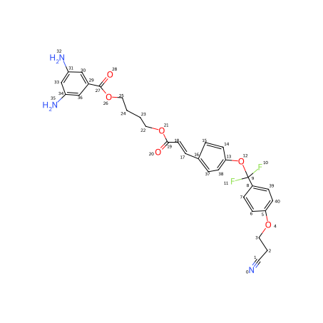 N#CCCOc1ccc(C(F)(F)Oc2ccc(C=CC(=O)OCCCCOC(=O)c3cc(N)cc(N)c3)cc2)cc1